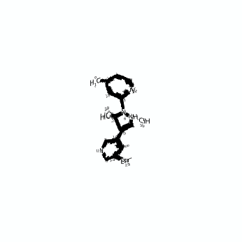 Cc1ccnc(N2NC=C(c3cncc(Br)c3)C2O)c1.Cl